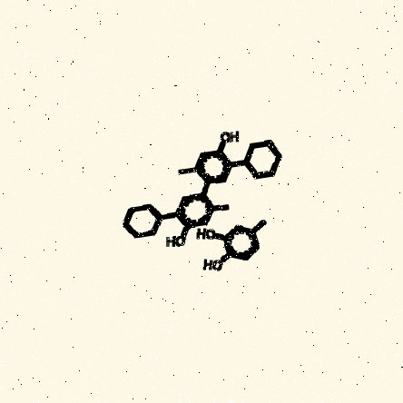 Cc1cc(O)c(C2CCCCC2)cc1-c1cc(C2CCCCC2)c(O)cc1C.Cc1ccc(O)c(O)c1